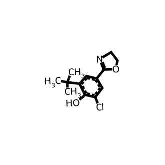 CC(C)(C)c1cc(C2=NCCO2)cc(Cl)c1O